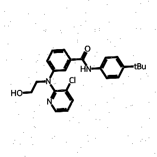 CC(C)(C)c1ccc(NC(=O)c2cccc(N(CCO)c3ncccc3Cl)c2)cc1